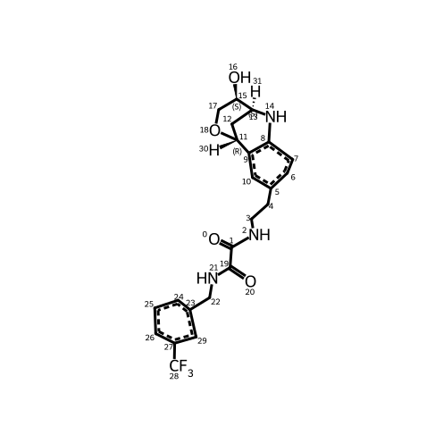 O=C(NCCc1ccc2c(c1)[C@H]1C[C@H](N2)[C@H](O)CO1)C(=O)NCc1cccc(C(F)(F)F)c1